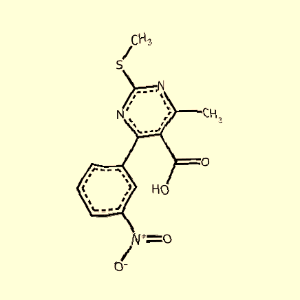 CSc1nc(C)c(C(=O)O)c(-c2cccc([N+](=O)[O-])c2)n1